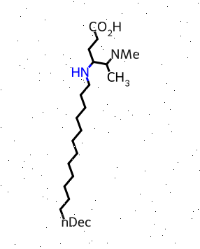 CCCCCCCCCCCCCCCCCCCCCCNC(CCC(=O)O)C(C)NC